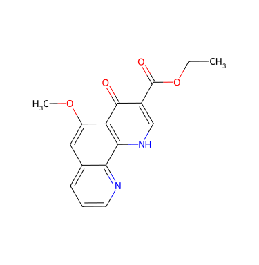 CCOC(=O)c1c[nH]c2c(c(OC)cc3cccnc32)c1=O